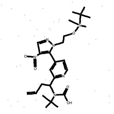 C=CCC(c1cc(-c2c([N+](=O)[O-])cnn2CCO[Si](C)(C)C(C)(C)C)ccn1)N(C(=O)O)C(C)(C)C